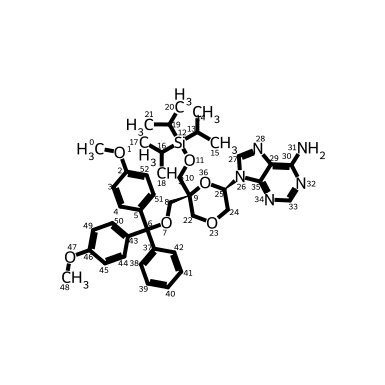 COc1ccc(C(OC[C@]2(CO[Si](C(C)C)(C(C)C)C(C)C)COC[C@H](n3cnc4c(N)ncnc43)O2)(c2ccccc2)c2ccc(OC)cc2)cc1